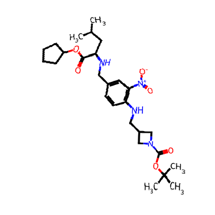 CC(C)CC(NCc1ccc(NCC2CN(C(=O)OC(C)(C)C)C2)c([N+](=O)[O-])c1)C(=O)OC1CCCC1